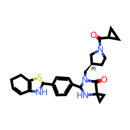 O=C(C1CC1)N1CC[C@@H](CN2C(=O)C3(CC3)NC2c2ccc(C3NC4=C(CCC=C4)S3)cc2)C1